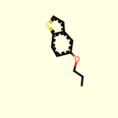 CCCOc1ccc2sccc2c1